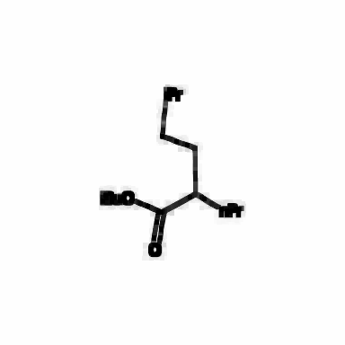 CCCC(CCC(C)C)C(=O)OCC(C)C